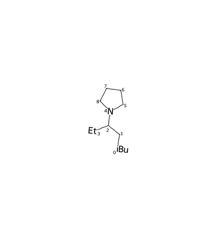 CCC(C)CC(CC)N1CCCC1